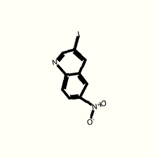 O=[N+]([O-])c1ccc2ncc(I)cc2c1